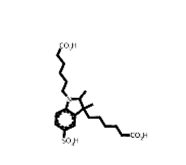 CC1N(CCCCCC(=O)O)c2ccc(S(=O)(=O)O)cc2C1(C)CCCCCC(=O)O